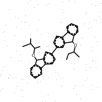 CCC(C)OC1c2ccccc2-c2ccc(-c3ccc4c(c3)C(OC(C)C(C)C)c3ccccc3-4)cc21